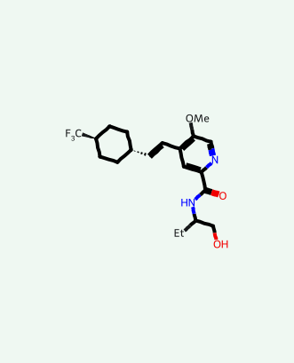 CCC(CO)NC(=O)c1cc(/C=C/[C@H]2CC[C@H](C(F)(F)F)CC2)c(OC)cn1